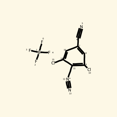 F[B-](F)(F)F.N#Cc1cc(Cl)c([N+]#N)c(Cl)c1